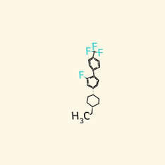 CC[C@H]1CC[C@H](c2ccc(-c3ccc(C(F)(F)F)cc3)c(F)c2)CC1